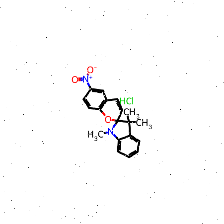 CN1c2ccccc2C(C)(C)C12C=Cc1cc([N+](=O)[O-])ccc1O2.Cl